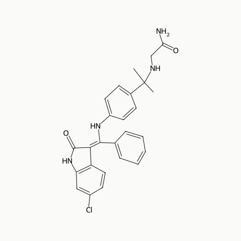 CC(C)(NCC(N)=O)c1ccc(N/C(=C2\C(=O)Nc3cc(Cl)ccc32)c2ccccc2)cc1